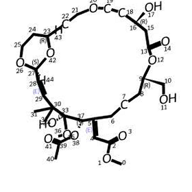 COC(=O)/C=C1\CCC[C@H](CO)OC(=O)C[C@H](O)CCOCC[C@@H]2CCO[C@H](/C=C/C(C)(C)[C@](O)(OC)[C@H]1OC(C)=O)O2